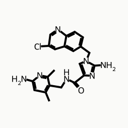 Cc1cc(N)nc(C)c1CNC(=O)c1cn(Cc2ccc3ncc(Cl)cc3c2)c(N)n1